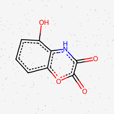 O=c1[nH]c2c(O)cccc2oc1=O